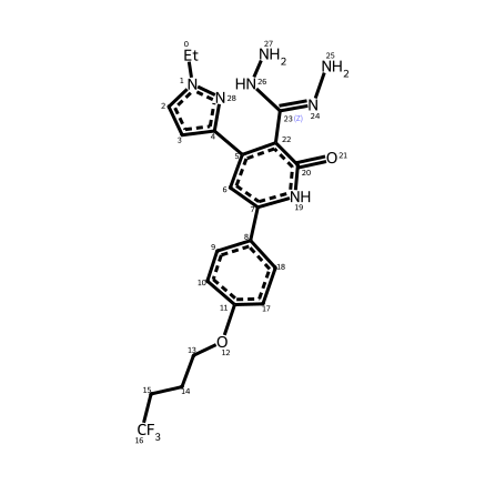 CCn1ccc(-c2cc(-c3ccc(OCCCC(F)(F)F)cc3)[nH]c(=O)c2/C(=N/N)NN)n1